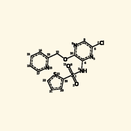 O=S(=O)(Nc1nc(Cl)cnc1OCc1ccccn1)c1cccs1